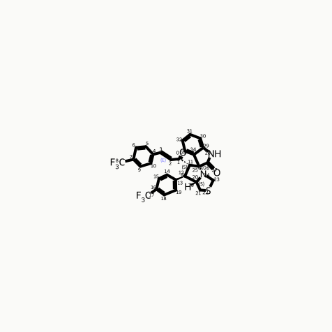 O=C(/C=C/c1ccc(C(F)(F)F)cc1)[C@H]1[C@H](c2ccc(C(F)(F)F)cc2)[C@H]2CSCN2[C@]12C(=O)Nc1ccccc12